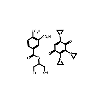 O=C(OC(CO)CO)c1ccc(C(=O)O)c(C(=O)O)c1.O=C1C=C(N2CC2)C(=O)C(N2CC2)=C1N1CC1